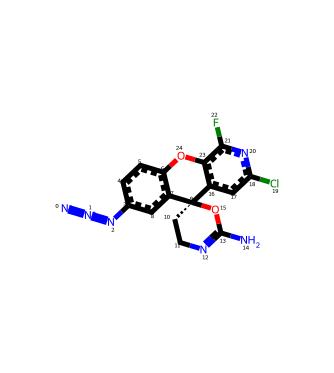 [N-]=[N+]=Nc1ccc2c(c1)[C@@]1(CCN=C(N)O1)c1cc(Cl)nc(F)c1O2